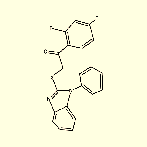 O=C(CSc1nc2ccccc2n1-c1ccccc1)c1ccc(F)cc1F